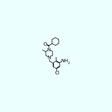 Cc1c(N)cc(Cl)cc1CN1CCN(C(=O)C2CCCCC2)C(C)C1